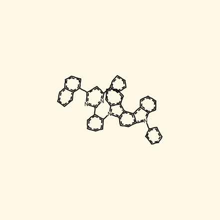 c1ccc(-c2cc(-c3cccc4ccccc34)nc(-c3ccccc3-n3c4ccccc4c4c5c6ccccc6n(-c6ccccc6)c5ccc43)n2)cc1